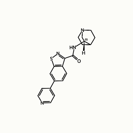 O=C(N[C@@H]1CN2CCC1CC2)c1nsc2cc(-c3ccncc3)ccc12